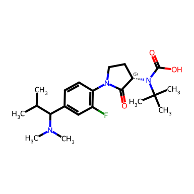 CC(C)C(c1ccc(N2CC[C@H](N(C(=O)O)C(C)(C)C)C2=O)c(F)c1)N(C)C